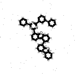 c1ccc(-c2cccc(-c3nc(-c4ccccc4)nc(-c4cccc5c4oc4cccc(-c6cccc7c6oc6ccccc67)c45)n3)c2)cc1